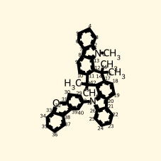 Cn1c2ccccc2c2ccc3c(c21)C(C)(C)c1ccc2c4ccccc4n(-c4ccc5oc6ccccc6c5c4)c2c1C3(C)C